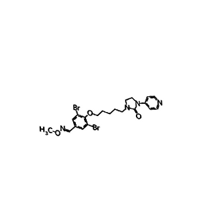 CON=Cc1cc(Br)c(OCCCCCN2CCN(c3ccncc3)C2=O)c(Br)c1